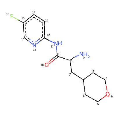 NC(CC1CCOCC1)C(=O)Nc1ccc(F)cn1